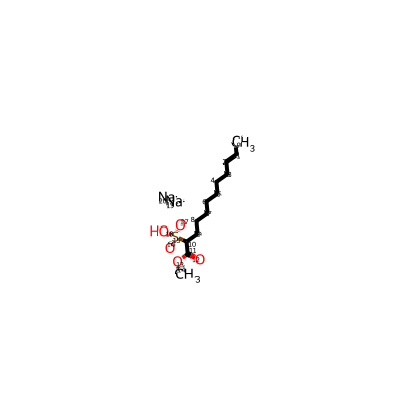 CCCCCCCCCCC(C(=O)OC)S(=O)(=O)O.[Na].[Na]